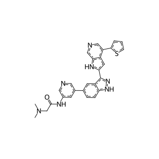 CN(C)CC(=O)Nc1cncc(-c2ccc3[nH]nc(-c4cc5c(-c6cccs6)cncc5[nH]4)c3c2)c1